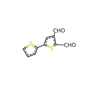 O=Cc1cc(-c2cccs2)sc1C=O